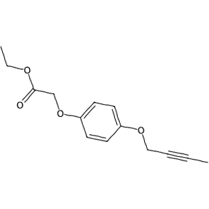 CC#CCOc1ccc(OCC(=O)OCC)cc1